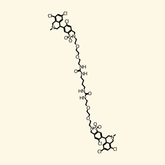 CN1Cc2c(Cl)cc(Cl)cc2C(c2cc3c(cc2Cl)CN(CCOCCOCCNC(=O)NCCCCNC(=O)NCCOCCOCCN2Cc4cc(Cl)c(C5CN(C)Cc6c(Cl)cc(Cl)cc65)cc4S2(=O)=O)S3(=O)=O)C1